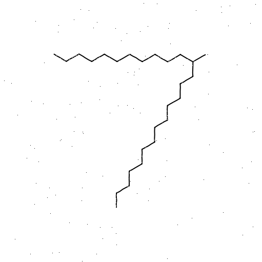 [CH2]C(CCCCCCCCCCC)CCCCCCCCCCCCC